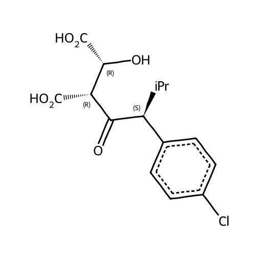 CC(C)[C@H](C(=O)[C@H](C(=O)O)[C@@H](O)C(=O)O)c1ccc(Cl)cc1